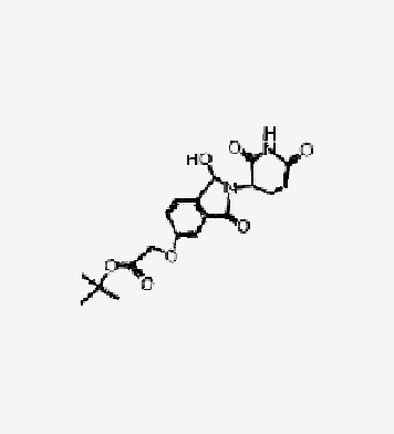 CC(C)(C)OC(=O)COc1ccc2c(c1)C(=O)N(C1CCC(=O)NC1=O)C2O